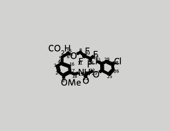 COc1ccc(CC(OCC(F)(F)C(F)F)C(=O)O)cc1CNC(=O)COc1ccc(Cl)cc1Cl